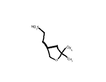 CC1(C)CC(CCS(=O)(=O)O)CO1